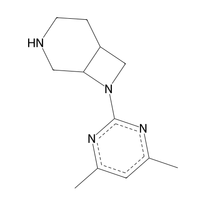 Cc1cc(C)nc(N2CC3CCNCC32)n1